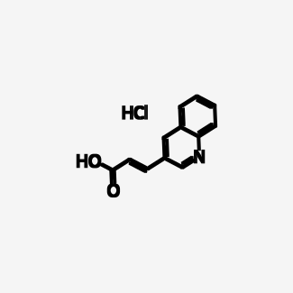 Cl.O=C(O)C=Cc1cnc2ccccc2c1